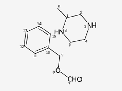 CC1CNCCN1.O=COCc1ccccc1